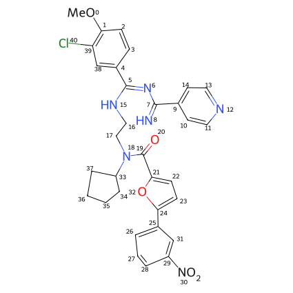 COc1ccc(/C(=N/C(=N)c2ccncc2)NCCN(C(=O)c2ccc(-c3cccc([N+](=O)[O-])c3)o2)C2CCCC2)cc1Cl